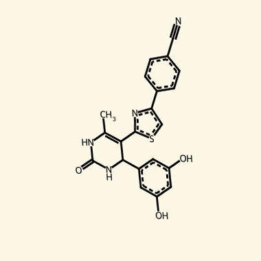 CC1=C(c2nc(-c3ccc(C#N)cc3)cs2)C(c2cc(O)cc(O)c2)NC(=O)N1